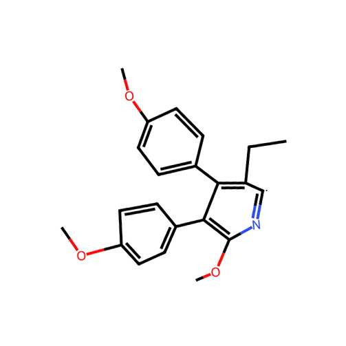 CCc1[c]nc(OC)c(-c2ccc(OC)cc2)c1-c1ccc(OC)cc1